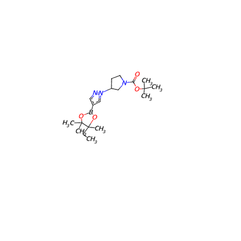 CCC1(C)OB(c2cnn(C3CCN(C(=O)OC(C)(C)C)C3)c2)OC1(C)C